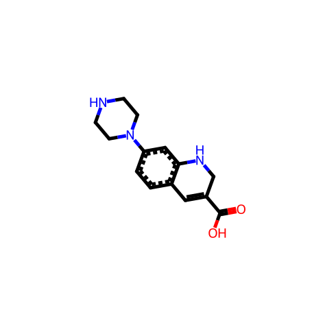 O=C(O)C1=Cc2ccc(N3CCNCC3)cc2NC1